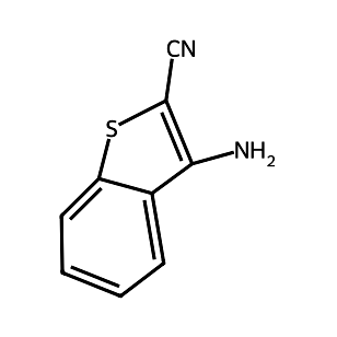 N#Cc1sc2ccccc2c1N